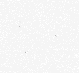 CSCCCCCc1cnnn1CCCCC(C)C